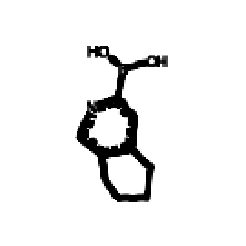 OB(O)c1cc2c(cn1)CCCC2